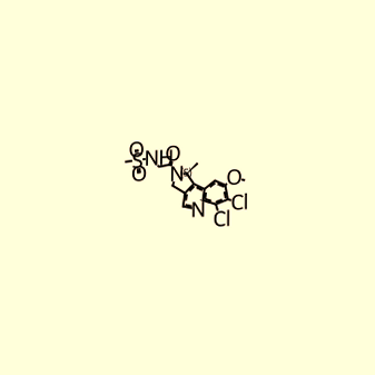 COc1cc2c3c(cnc2c(Cl)c1Cl)CN(C(=O)CNS(C)(=O)=O)[C@H]3C